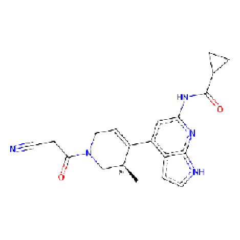 C[C@H]1CN(C(=O)CC#N)CC=C1c1cc(NC(=O)C2CC2)nc2[nH]ccc12